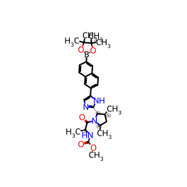 COC(=O)N[C@@H](C)C(=O)N1[C@H](C)C[C@H](C)[C@H]1c1ncc(-c2ccc3cc(B4OC(C)(C)C(C)(C)O4)ccc3c2)[nH]1